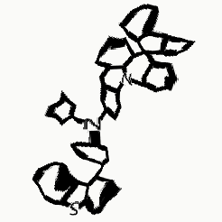 c1ccc(N(c2ccc(-c3cccc4sc5ccccc5c34)cc2)c2ccc3c(c2)c2cccc4c2n3-c2ccccc2C42c3ccccc3-c3ccccc32)cc1